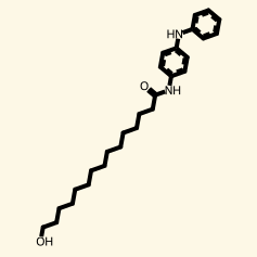 O=C(CCCCCCCCCCCCCCO)Nc1ccc(Nc2ccccc2)cc1